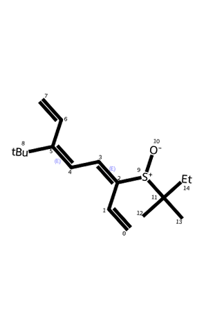 C=C/C(=C\C=C(/C=C)C(C)(C)C)[S+]([O-])C(C)(C)CC